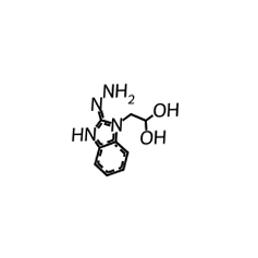 NN=c1[nH]c2ccccc2n1CC(O)O